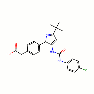 CC(C)(C)C1=NC(c2ccc(CC(=O)O)cc2)C(NC(=O)Nc2ccc(Cl)cc2)=C1